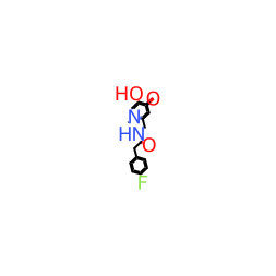 Cn1cc(O)c(=O)cc1CNC(=O)Cc1ccc(F)cc1